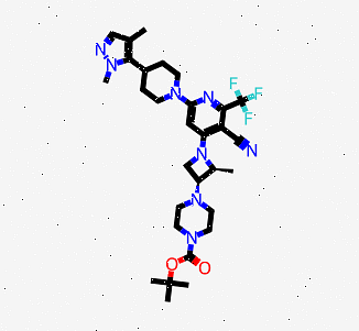 Cc1cnn(C)c1C1CCN(c2cc(N3C[C@H](N4CCN(C(=O)OC(C)(C)C)CC4)[C@@H]3C)c(C#N)c(C(F)(F)F)n2)CC1